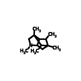 CC1C2C3CC1(C)C(C)C2(C)CN3C